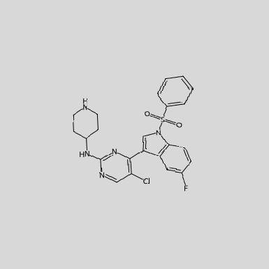 O=S(=O)(c1ccccc1)n1cc(-c2nc(NC3CCNCC3)ncc2Cl)c2cc(F)ccc21